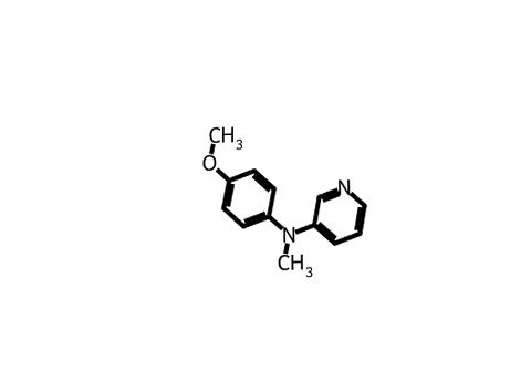 COc1ccc(N(C)c2cccnc2)cc1